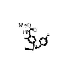 C#CCN(Cc1ccc(F)cc1)c1ccc(NC(=O)OC)c(C)c1